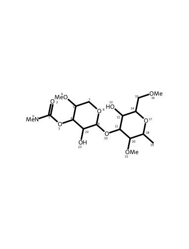 CNC(=O)OC1C(OC)COC(OC2C(O)C(COC)OC(C)C2OC)C1O